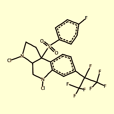 O=S(=O)(c1ccc(F)cc1)C12CCN(Cl)C1CN(Cl)c1cc(C(F)(C(F)(F)F)C(F)(F)F)ccc12